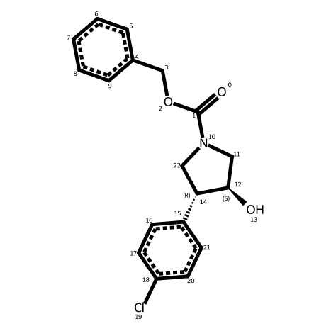 O=C(OCc1ccccc1)N1C[C@@H](O)[C@H](c2ccc(Cl)cc2)C1